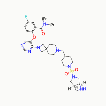 CC(C)N(C(=O)c1cc(F)ccc1Oc1cncnc1N1CC2(CCN(CC3CCN(S(=O)(=O)N4C[C@@H]5CN[C@@H]5C4)CC3)CC2)C1)C(C)C